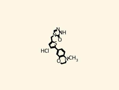 CN1CCOc2cc(-c3ccc(Cn4cn[nH]c4=O)s3)ccc21.Cl